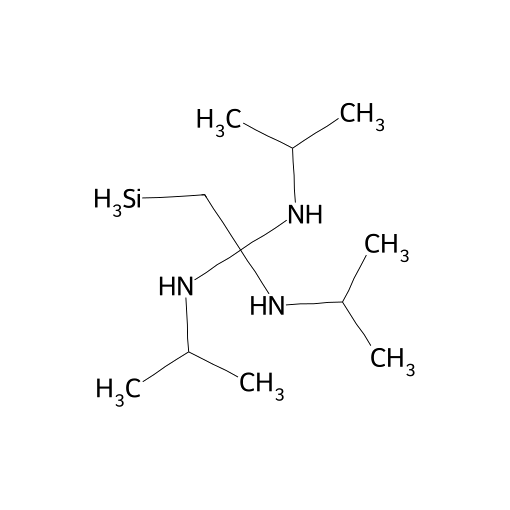 CC(C)NC(C[SiH3])(NC(C)C)NC(C)C